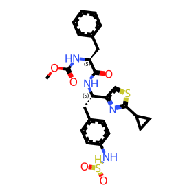 COC(=O)N[C@@H](Cc1ccccc1)C(=O)N[C@@H](Cc1ccc(N[SH](=O)=O)cc1)c1csc(C2CC2)n1